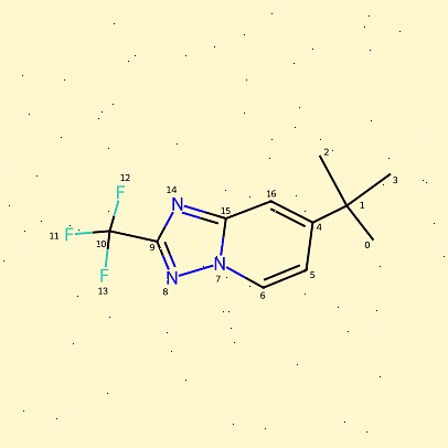 CC(C)(C)c1ccn2nc(C(F)(F)F)nc2c1